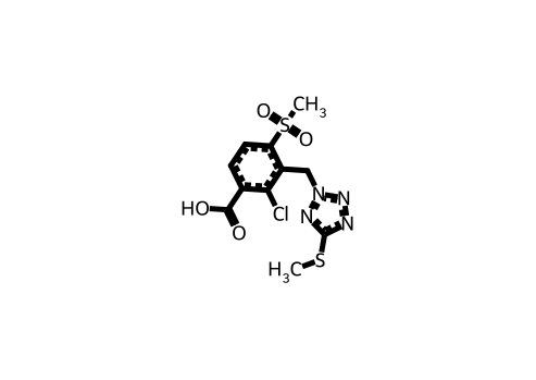 CSc1nnn(Cc2c(S(C)(=O)=O)ccc(C(=O)O)c2Cl)n1